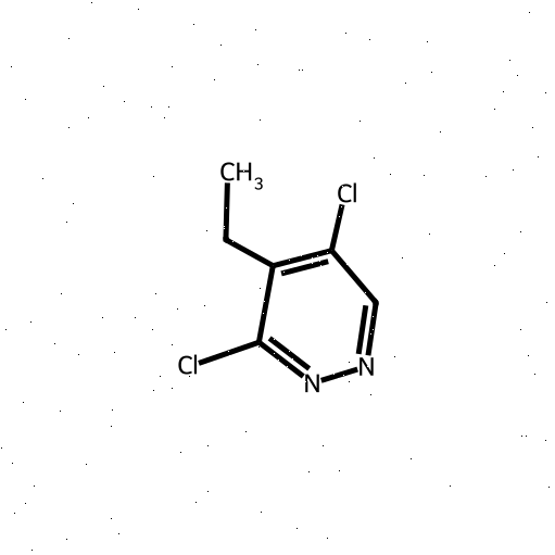 CCc1c(Cl)cnnc1Cl